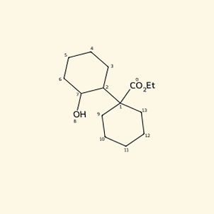 CCOC(=O)C1(C2CCCCC2O)CCCCC1